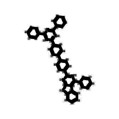 c1ccc(-c2nc(-c3ccccc3)nc(-c3ccc(-c4ccc(-c5nc(-c6ccccc6)c6c(n5)sc5ccccc56)cc4)cc3)n2)cc1